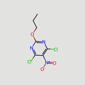 CCCOc1nc(Cl)c([N+](=O)[O-])c(Cl)n1